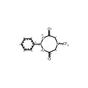 O=C1CN(C(F)(F)F)CC(=O)OB(c2ccccc2)O1